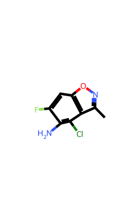 Cc1noc2cc(F)c(N)c(Cl)c12